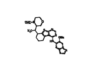 COc1cn2nccc2cc1Nc1ncnc2sc3c(c12)CCCC3C(C)C1COCCN1C=O